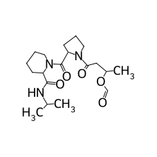 CC(C)NC(=O)C1CCCCN1C(=O)C1CCCN1C(=O)CC(C)OC=O